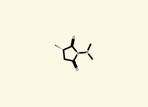 C[C@H]1CC(=O)N(N(C)C)C1=O